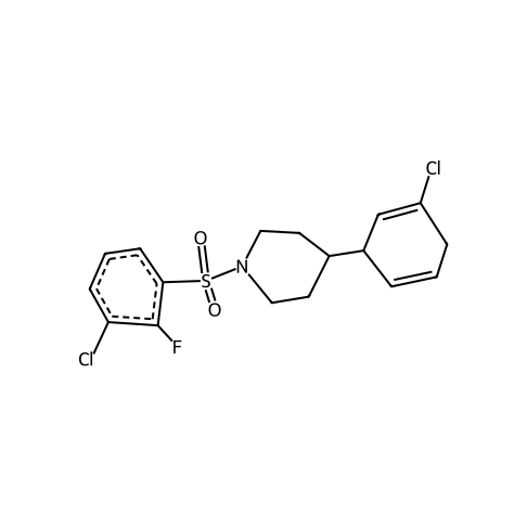 O=S(=O)(c1cccc(Cl)c1F)N1CCC(C2C=CCC(Cl)=C2)CC1